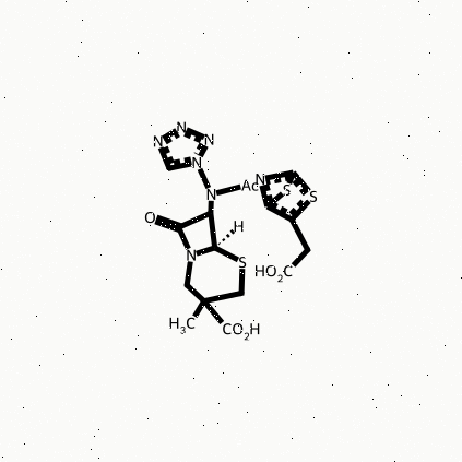 CC(=O)N(C1C(=O)N2CC(C)(C(=O)O)CS[C@H]12)n1cnnn1.O=C(O)Cc1sc2nc1S2